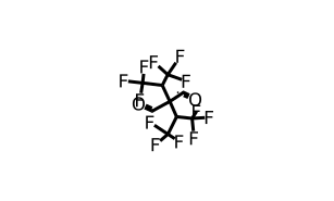 O=[C]C(C=O)(C(C(F)(F)F)C(F)(F)F)C(C(F)(F)F)C(F)(F)F